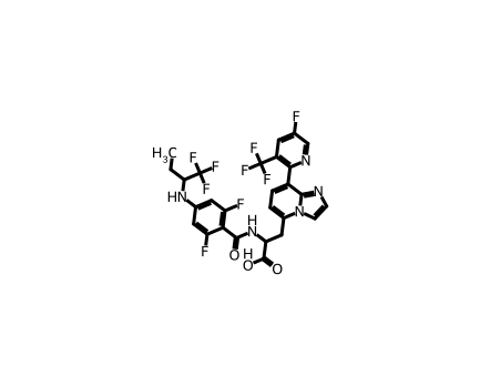 CCC(Nc1cc(F)c(C(=O)NC(Cc2ccc(-c3ncc(F)cc3C(F)(F)F)c3nccn23)C(=O)O)c(F)c1)C(F)(F)F